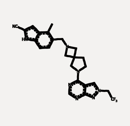 Cc1c(CN2CC3(CCN(c4ncnc5nn(CC(F)(F)F)cc45)C3)C2)ccc2[nH]c(C#N)cc12